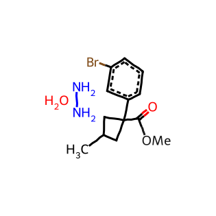 COC(=O)C1(c2cccc(Br)c2)CC(C)C1.NN.O